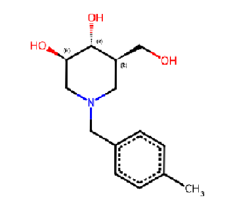 Cc1ccc(CN2C[C@H](CO)[C@@H](O)[C@H](O)C2)cc1